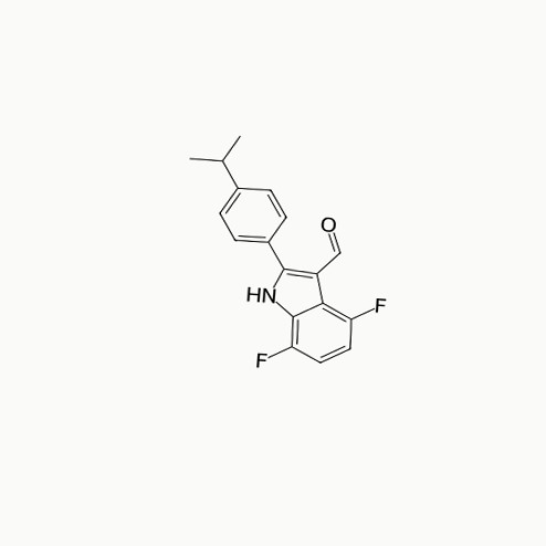 CC(C)c1ccc(-c2[nH]c3c(F)ccc(F)c3c2C=O)cc1